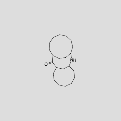 O=C1C2CCCCCCCC(CC2)NC2CCCCCCCC1C2